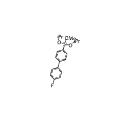 CO[Si](OC(C)C)(OC(C)C)c1ccc(-c2ccc(F)cc2)cc1